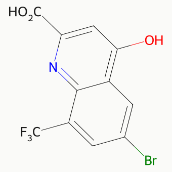 O=C(O)c1cc(O)c2cc(Br)cc(C(F)(F)F)c2n1